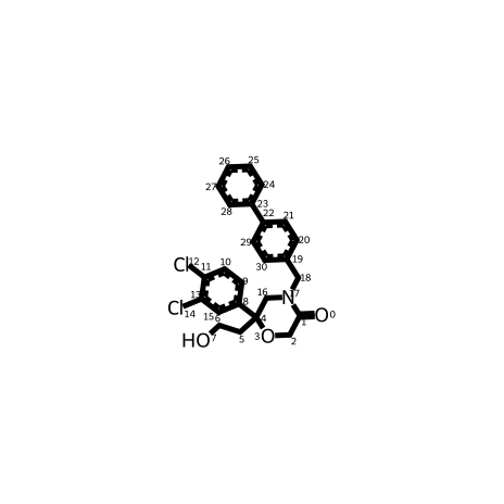 O=C1COC(CCO)(c2ccc(Cl)c(Cl)c2)CN1Cc1ccc(-c2ccccc2)cc1